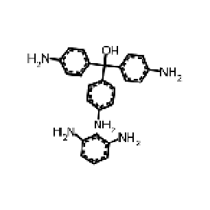 Nc1ccc(C(O)(c2ccc(N)cc2)c2ccc(N)cc2)cc1.Nc1cccc(N)c1